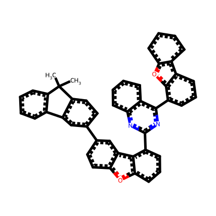 CC1(C)c2ccccc2-c2cc(-c3ccc4oc5cccc(-c6nc(-c7cccc8c7oc7ccccc78)c7ccccc7n6)c5c4c3)ccc21